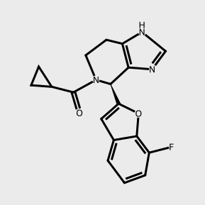 O=C(C1CC1)N1CCc2[nH]cnc2[C@H]1c1cc2cccc(F)c2o1